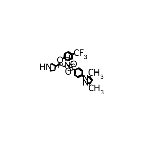 Cc1cc(C)n(-c2ccc(S(=O)(=O)NC[C@@H](Oc3ccc(C(F)(F)F)cc3)[C@H]3CCNC3)cc2)n1